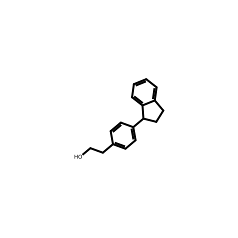 OCCc1ccc(C2CCc3ccccc32)cc1